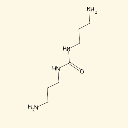 NCCCNC(=O)NCCCN